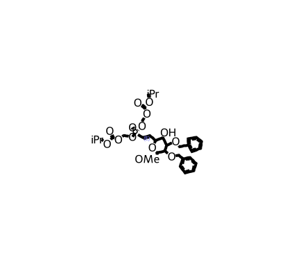 COC1OC(/C=C/P(=O)(OCOC(=O)OC(C)C)OCOC(=O)OC(C)C)C(O)C(OCc2ccccc2)C1OCc1ccccc1